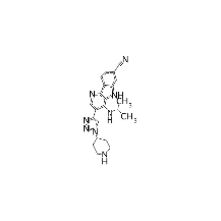 CC(C)Nc1c(-c2cn(C3CCNCC3)nn2)cnc2c1[nH]c1cc(C#N)ccc12